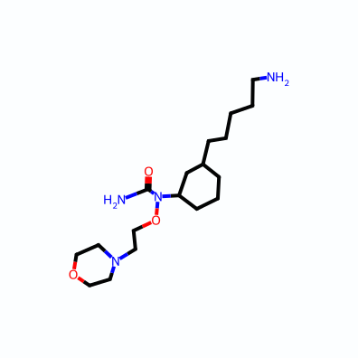 NCCCCCC1CCCC(N(OCCN2CCOCC2)C(N)=O)C1